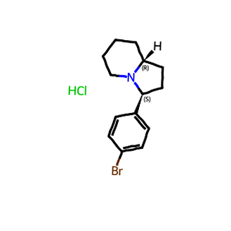 Brc1ccc([C@@H]2CC[C@H]3CCCCN32)cc1.Cl